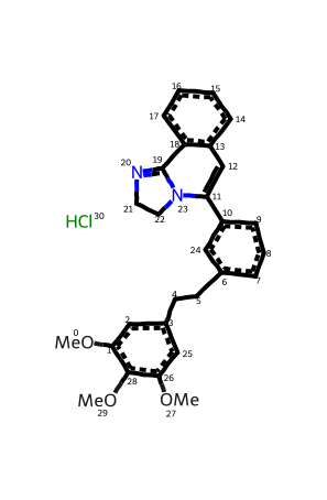 COc1cc(CCc2cccc(C3=Cc4ccccc4C4=NCCN34)c2)cc(OC)c1OC.Cl